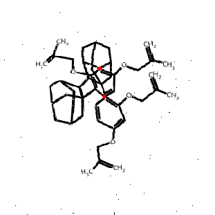 C=C(C)COc1ccc(C23CC4CC(CC(C4)C2C2C4CC5CC(C4)CC2(c2ccc(OCC(=C)C)cc2OCC(=C)C)C5)C3)c(OCC(=C)C)c1